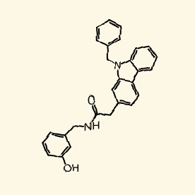 O=C(Cc1ccc2c3ccccc3n(Cc3ccccc3)c2c1)NCc1cccc(O)c1